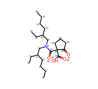 CCCCC(CC)CN(CC(CC)CCCC)C(=O)C1(C(=O)O)CCCC1=O